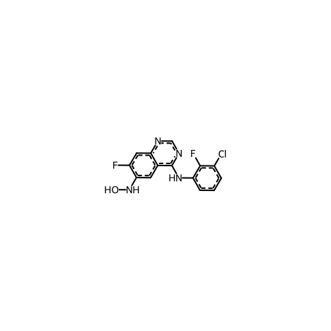 ONc1cc2c(Nc3cccc(Cl)c3F)ncnc2cc1F